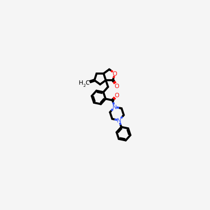 C=C1CC2COC(=O)C2(Cc2ccccc2C(=O)N2CCN(c3ccccc3)CC2)C1